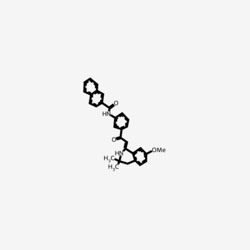 COc1ccc2c(c1)C(=CC(=O)c1cccc(NC(=O)c3ccc4ccccc4c3)c1)NC(C)(C)C2